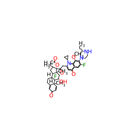 COc1c(N2CCNC(C)C2)c(F)cc2c(=O)cc(CC(=O)[C@]3(OC(C)=O)[C@H](C)C[C@@H]4[C@H]5CCC6=CC(=O)C=C[C@@]6(C)[C@]5(F)[C@H](O)C[C@]43C)n(C3CC3)c12